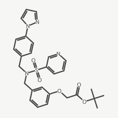 CC(C)(C)OC(=O)COc1cccc(CN(Cc2ccc(-n3cccn3)cc2)S(=O)(=O)c2cccnc2)c1